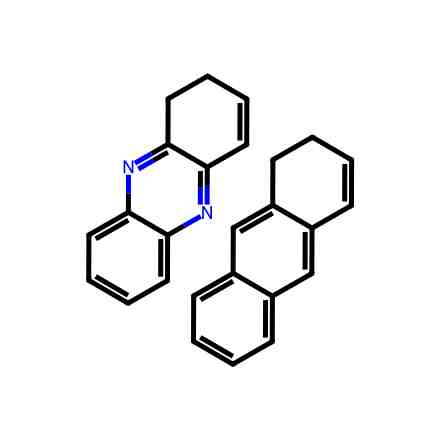 C1=Cc2cc3ccccc3cc2CC1.C1=Cc2nc3ccccc3nc2CC1